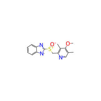 COc1c(C)cnc(C[S+]([O-])C2=Nc3ccccc3[N]2)c1C